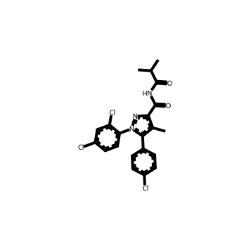 Cc1c(C(=O)NC(=O)C(C)C)nn(-c2ccc(Cl)cc2Cl)c1-c1ccc(Cl)cc1